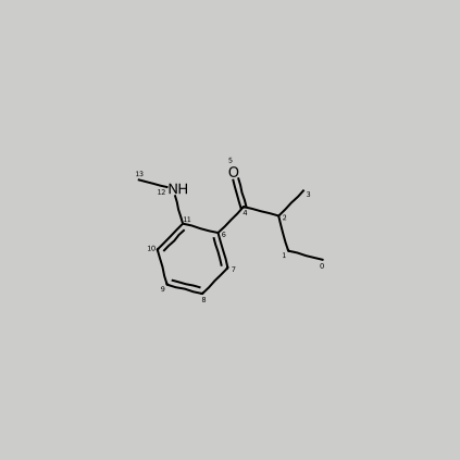 CCC(C)C(=O)c1ccccc1NC